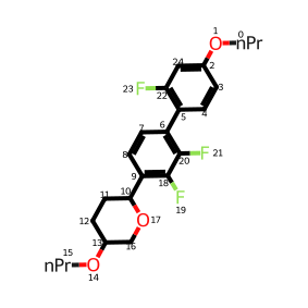 CCCOc1ccc(-c2ccc(C3CCC(OCCC)CO3)c(F)c2F)c(F)c1